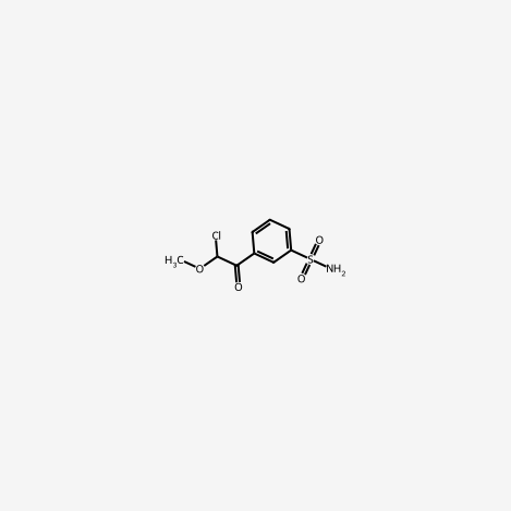 COC(Cl)C(=O)c1cccc(S(N)(=O)=O)c1